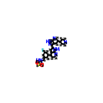 CS(=O)(=O)NCc1cc(F)cc(-c2ccnc3[nH]c(-c4n[nH]c5ncc(-c6ccncc6)cc45)cc23)c1